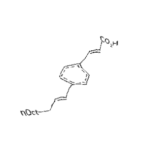 CCCCCCCCCC=Cc1ccc(C=CC(=O)O)cc1